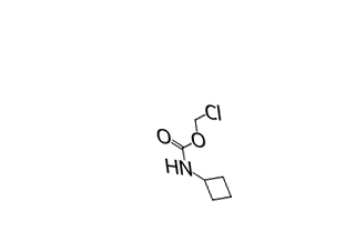 O=C(NC1CCC1)OCCl